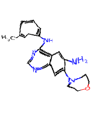 Cc1cccc(Nc2ncnc3cc(N4CCOCC4)c(N)cc23)c1